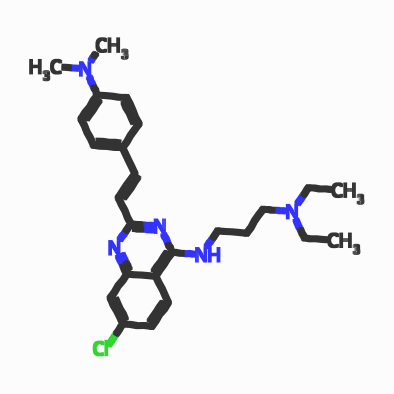 CCN(CC)CCCNc1nc(/C=C/c2ccc(N(C)C)cc2)nc2cc(Cl)ccc12